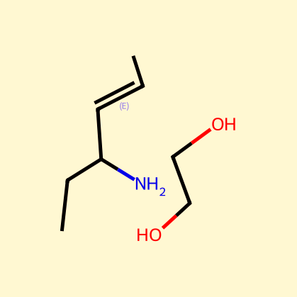 C/C=C/C(N)CC.OCCO